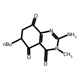 CCCCC1CC(=O)c2nc(N)n(C)c(=O)c2C1=O